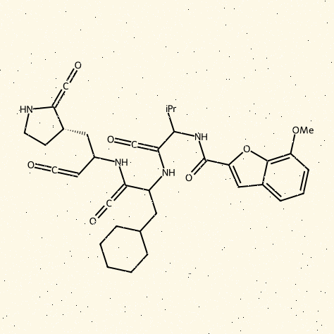 COc1cccc2cc(C(=O)NC(C(=C=O)NC(CC3CCCCC3)C(=C=O)NC(C=C=O)C[C@@H]3CCNC3=C=O)C(C)C)oc12